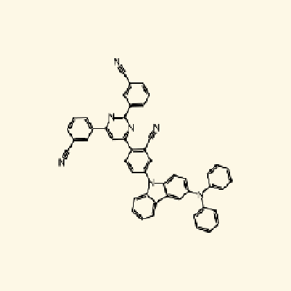 N#Cc1cccc(-c2cc(-c3ccc(-n4c5ccccc5c5cc(N(c6ccccc6)c6ccccc6)ccc54)cc3C#N)nc(-c3cccc(C#N)c3)n2)c1